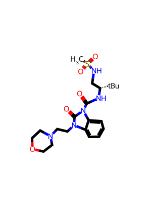 CC(C)(C)[C@@H](CNS(C)(=O)=O)NC(=O)n1c(=O)n(CCN2CCOCC2)c2ccccc21